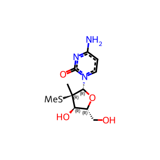 CS[C@]1(C)[C@H](O)[C@@H](CO)O[C@H]1n1ccc(N)nc1=O